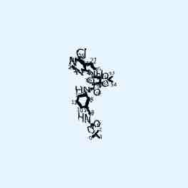 CC(C)(C)OC(=O)NCc1cccc(NC(=O)[C@H]2O[C@@H](n3ccc4c(Cl)ncnc43)[C@@H]3OC(C)(C)O[C@]23C)c1